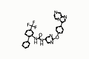 O=C(Nc1cnc(Oc2ccc(-c3cnc4cnccn34)cc2)nc1)Nc1cc(C(F)(F)F)ccc1-c1ccccc1